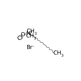 CCCCCCCCCCCCCCCCC[N+](C)(C)CCOc1ccccc1.[Br-]